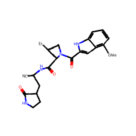 CCC1CN(C(=O)c2cc3c(OC)cccc3[nH]2)C1C(=O)NC(C#N)CC1CCNC1=O